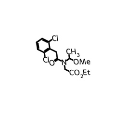 CCOC(=O)CN(C(=O)Cc1c(Cl)cccc1Cl)C(C)OC